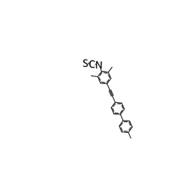 Cc1ccc(-c2ccc(C#Cc3cc(C)c(N=C=S)c(C)c3)cc2)cc1